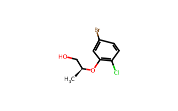 C[C@@H](CO)Oc1cc(Br)ccc1Cl